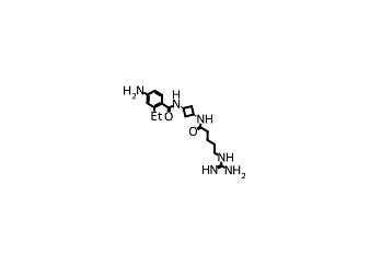 CCc1cc(N)ccc1C(=O)N[C@H]1C[C@@H](NC(=O)CCCCNC(=N)N)C1